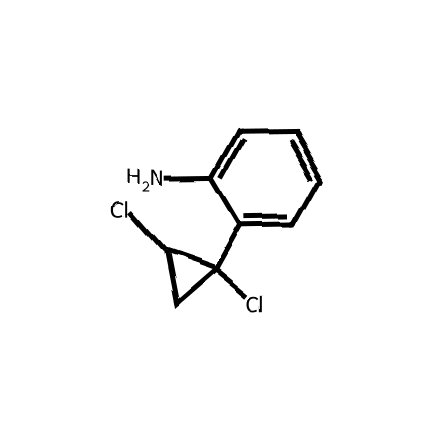 Nc1ccccc1C1(Cl)CC1Cl